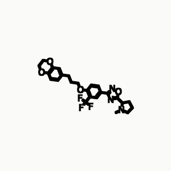 CN1CCCC1c1nc(-c2ccc(OCCCc3ccc4c(c3)OCCO4)c(C(F)(F)F)c2)no1